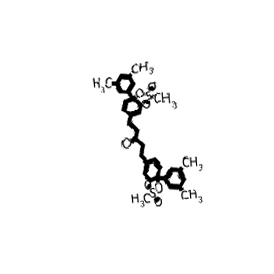 Cc1cc(C)cc(C2(OS(C)(=O)=O)C=CC(CCC(=O)CCC3=CCC(OS(C)(=O)=O)(c4cc(C)cc(C)c4)C=C3)=CC2)c1